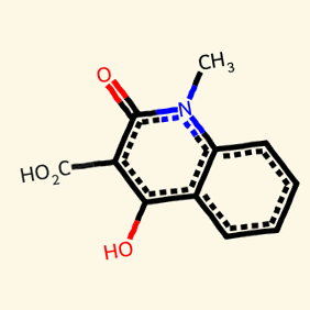 Cn1c(=O)c(C(=O)O)c(O)c2ccccc21